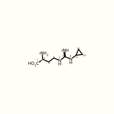 N=C(NCC[C@H](N)C(=O)O)NC1CC1